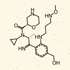 CONCCCNc1cc(CO)ccc1C(=N)[C@@H](C)N(C(=O)[C@H]1CNCCO1)C1CC1